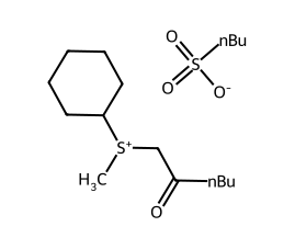 CCCCC(=O)C[S+](C)C1CCCCC1.CCCCS(=O)(=O)[O-]